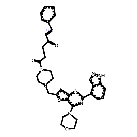 O=C(/C=C/c1ccccc1)CCC(=O)N1CCN(Cc2cc3nc(-c4cccc5[nH]ncc45)nc(N4CCOCC4)c3s2)CC1